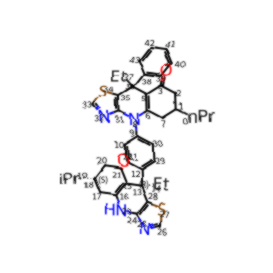 CCCC1CC(=O)C2=C(C1)N(c1ccc([C@]3(CC)C4=C(C[C@H](C(C)C)CC4=O)Nc4ncsc43)cc1)c1ncsc1C2(CC)c1ccccc1